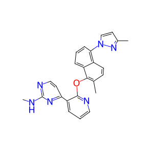 CNc1nccc(-c2cccnc2Oc2c(C)ccc3c(-n4ccc(C)n4)cccc23)n1